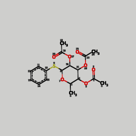 CC(=O)OC1C(C)OC(Sc2ccccc2)C(OC(C)=O)C1OC(C)=O